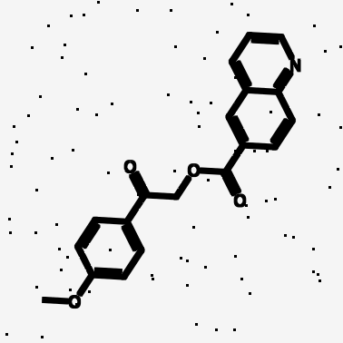 COc1ccc(C(=O)COC(=O)c2ccc3ncccc3c2)cc1